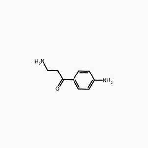 NCCC(=O)c1ccc(N)cc1